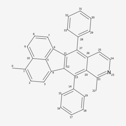 Cc1ccc2c3c(cccc13)-c1c-2c(-c2ccccc2)c2c(C)nccc2c1-c1ccccc1